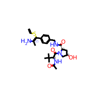 C=CS/C(=C(/C)N)c1ccc(CNC(=O)[C@@H]2C[C@@H](O)CN2C(=O)[C@@H](NC(C)=O)C(C)(C)C)cc1